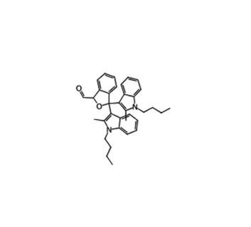 CCCCn1c(C)c(C2(c3c(C)n(CCCC)c4ccccc34)OC(C=O)c3ccccc32)c2ccccc21